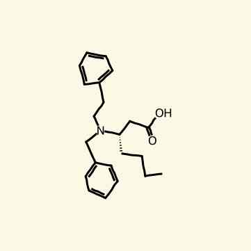 CCCC[C@@H](CC(=O)O)N(CCc1ccccc1)Cc1ccccc1